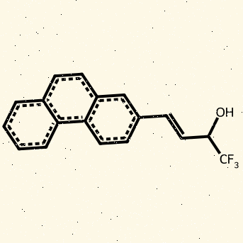 OC(/C=C/c1ccc2c(ccc3ccccc32)c1)C(F)(F)F